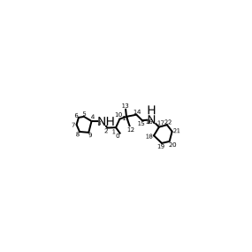 CC(CNC1CCCCC1)CC(C)(C)CCNC1CCCCC1